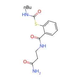 CCCCNC(=O)Sc1ccccc1C(=O)NCCC(N)=O